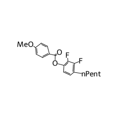 CCCCCc1ccc(OC(=O)c2ccc(OC)cc2)c(F)c1F